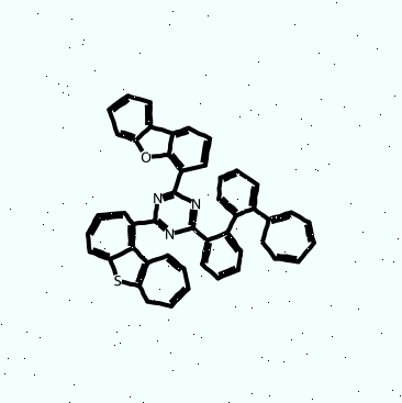 C1=CC=c2sc3c(c2=C(c2nc(-c4ccccc4-c4ccccc4C4=CC=CC=CC4)nc(-c4cccc5c4oc4ccccc45)n2)C=1)C=CC=CC3